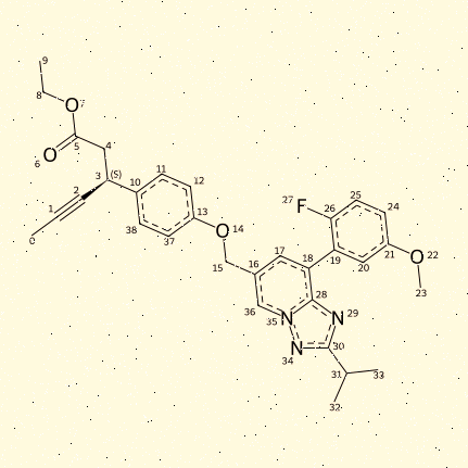 CC#C[C@@H](CC(=O)OCC)c1ccc(OCc2cc(-c3cc(OC)ccc3F)c3nc(C(C)C)nn3c2)cc1